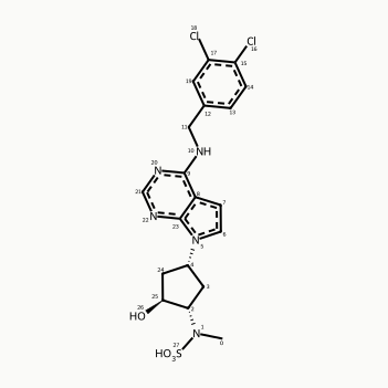 CN([C@H]1C[C@@H](n2ccc3c(NCc4ccc(Cl)c(Cl)c4)ncnc32)C[C@@H]1O)S(=O)(=O)O